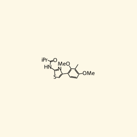 COc1ccc(-c2csc(NC(=O)C(C)C)n2)c(OC)c1C